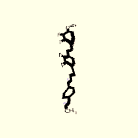 C/C=C/C1CCC(/C=C/CCc2ccc(CCc3ccc(OCC)c(F)c3F)c(F)c2F)CC1